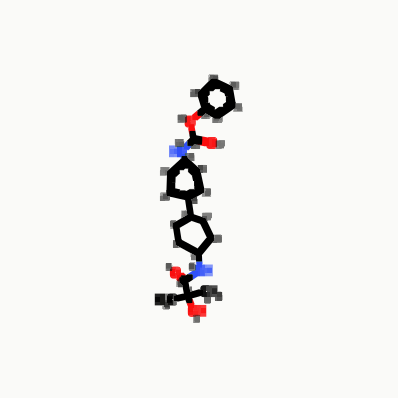 CC(C)(O)C(=O)NC1CCC(c2ccc(NC(=O)Oc3ccccc3)cc2)CC1